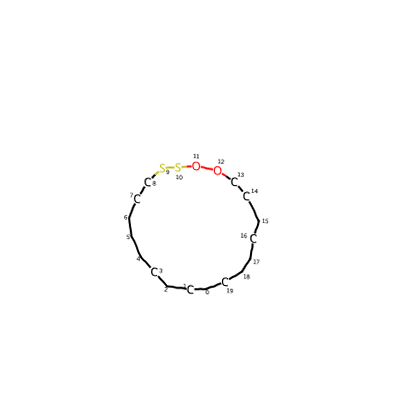 C1CCCCCCCCSSOOCCCCCCC1